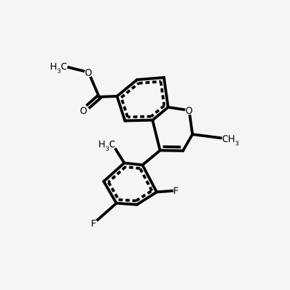 COC(=O)c1ccc2c(c1)C(c1c(C)cc(F)cc1F)=CC(C)O2